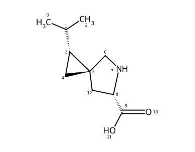 CC(C)[C@H]1C[C@]12CN[C@H](C(=O)O)C2